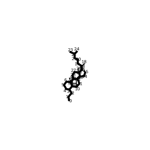 CCCC1CCC[C@@]2(C)C1CCC1=C3CC[C@H]([C@H](C)CCCC(C)C)[C@@]3(C)CC[C@@H]12